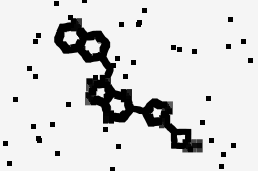 c1cnc2ccc(Cn3nnc4ncc(-c5cnn(C6CNC6)c5)nc43)cc2c1